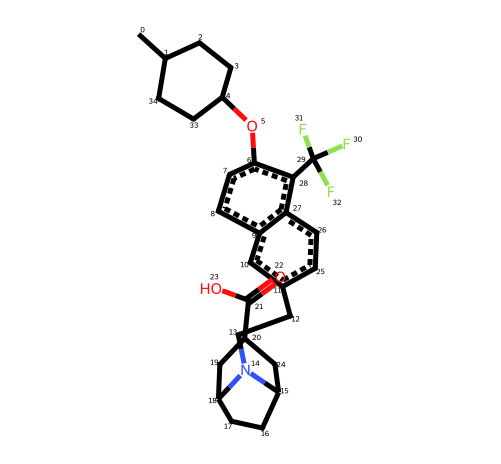 CC1CCC(Oc2ccc3cc(CCN4C5CCC4CC(C(=O)O)C5)ccc3c2C(F)(F)F)CC1